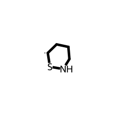 [CH]1CCCNS1